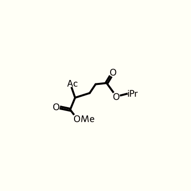 COC(=O)C(CCC(=O)OC(C)C)C(C)=O